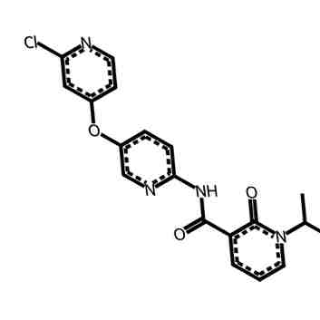 CC(C)n1cccc(C(=O)Nc2ccc(Oc3ccnc(Cl)c3)cn2)c1=O